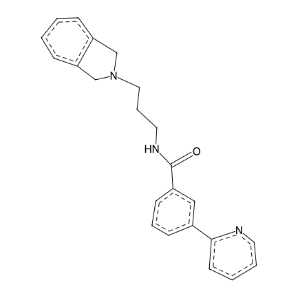 O=C(NCCCN1Cc2ccccc2C1)c1cccc(-c2ccccn2)c1